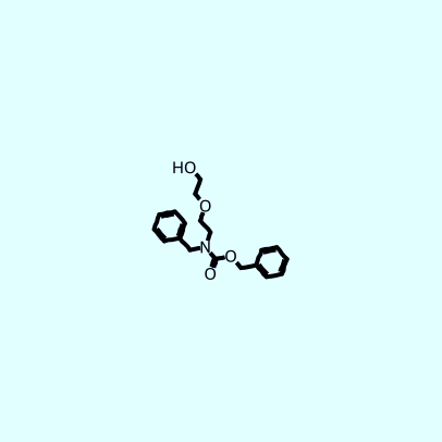 O=C(OCc1ccccc1)N(CCOCCO)Cc1ccccc1